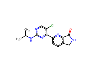 CC(C)Nc1ncc(Cl)c(-c2ccc3c(n2)C(=O)NC3)n1